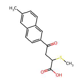 CSC(CC(=O)c1ccc2cc(C)ccc2c1)C(=O)O